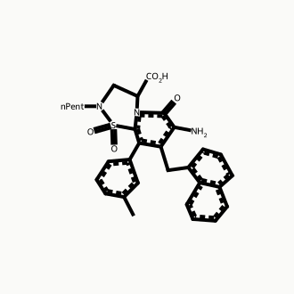 CCCCCN1CC(C(=O)O)n2c(c(-c3cccc(C)c3)c(Cc3cccc4ccccc34)c(N)c2=O)S1(=O)=O